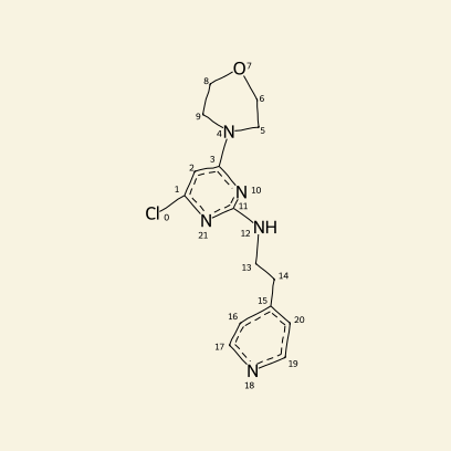 Clc1cc(N2CCOCC2)nc(NCCc2ccncc2)n1